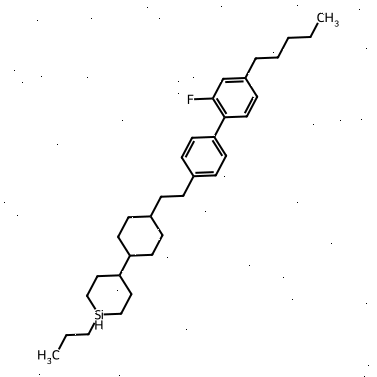 CCCCCc1ccc(-c2ccc(CCC3CCC(C4CC[SiH](CCC)CC4)CC3)cc2)c(F)c1